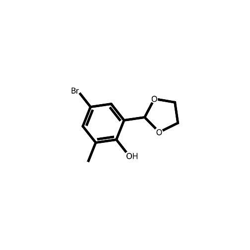 Cc1cc(Br)cc(C2OCCO2)c1O